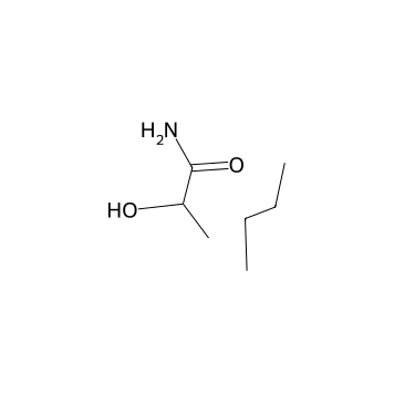 CC(O)C(N)=O.CCCC